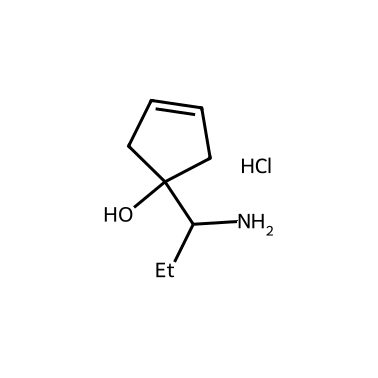 CCC(N)C1(O)CC=CC1.Cl